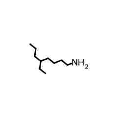 CCCC(CC)CCCCN